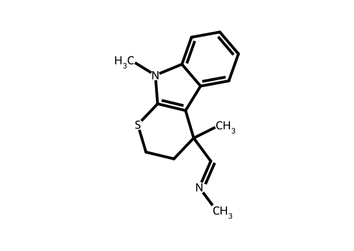 CN=CC1(C)CCSc2c1c1ccccc1n2C